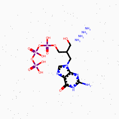 N.N.N.N.Nc1nc2c(ncn2CC(CO)COP(=O)(O)OP(=O)(O)OP(=O)(O)O)c(=O)[nH]1